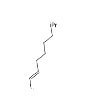 [CH2]C=CCCCCC(C)C